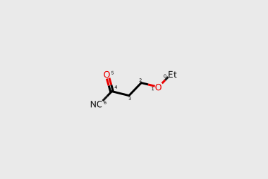 CCOCCC(=O)C#N